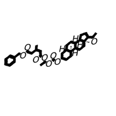 CC(=O)C1CC[C@H]2[C@@H]3CC[C@H]4C[C@H](OC(=O)OC(C)OC(=O)CC(C)CC(=O)OCc5ccccc5)CC[C@]4(C)[C@H]3CC[C@]12C